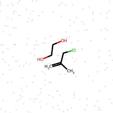 C=C(C)CCl.OCCO